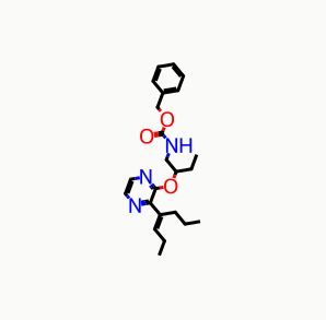 CC/C=C(\CCC)c1nccnc1OC(CC)CNC(=O)OCc1ccccc1